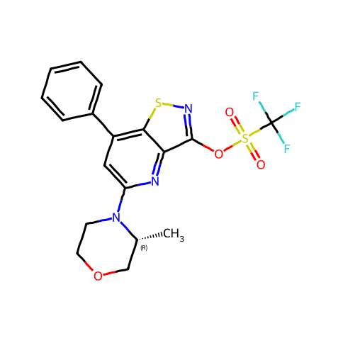 C[C@@H]1COCCN1c1cc(-c2ccccc2)c2snc(OS(=O)(=O)C(F)(F)F)c2n1